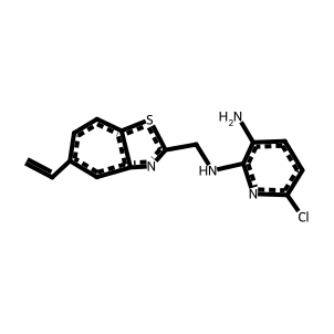 C=Cc1ccc2sc(CNc3nc(Cl)ccc3N)nc2c1